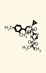 Cc1ccc(C(=N)CN(C2CC2)S(=O)(=O)c2ncn(S(=O)(=O)N(C)C)n2)c(C)c1